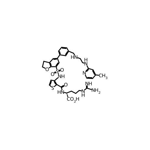 Cc1ccnc(NCCNCc2cccc(-c3cc4c(c(S(=O)(=O)Nc5ccsc5C(=O)N[C@@H](CCCNC(=N)N)C(=O)O)c3)OCC4)c2)c1